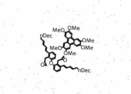 CCCCCCCCCCC/C=C/C=C/c1cccc(Oc2cccc(/C=C/C=C/CCCCCCCCCCC)c2CC2CO2)c1CC1CO1.COc1cc2c3cc(OC)c(OC)cc3c3cc(OC)c(OC)cc3c2cc1OC